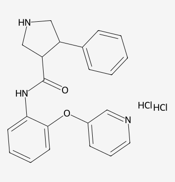 Cl.Cl.O=C(Nc1ccccc1Oc1cccnc1)C1CNCC1c1ccccc1